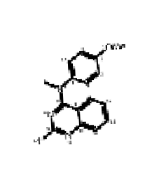 COc1ccc(N(C)c2nc(F)nc3ccccc23)cc1